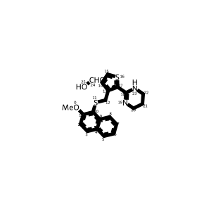 COc1ccc2ccccc2c1SCc1ccsc1C1=NCCCN1.O=CO